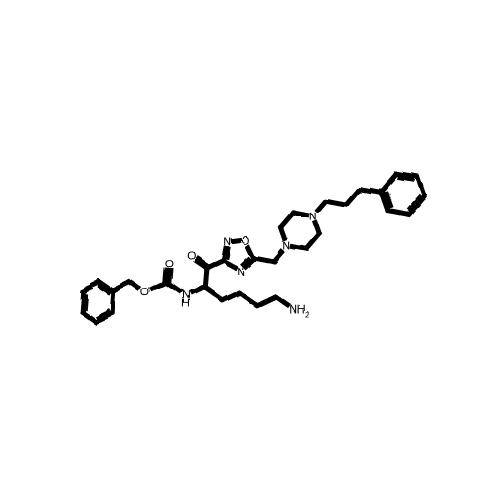 NCCCCC(NC(=O)OCc1ccccc1)C(=O)c1noc(CN2CCN(CCCc3ccccc3)CC2)n1